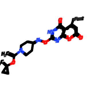 C=C(OC1(C)CC1)N1CCC(=NOc2nc3oc(=O)cc(CCCCC)c3c(=O)[nH]2)CC1